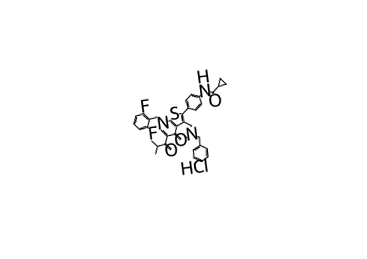 CC(C)C(=O)c1cn(Cc2c(F)cccc2F)c2sc(-c3ccc(NC(=O)C4CC4)cc3)c(CN(C)Cc3ccccc3)c2c1=O.Cl